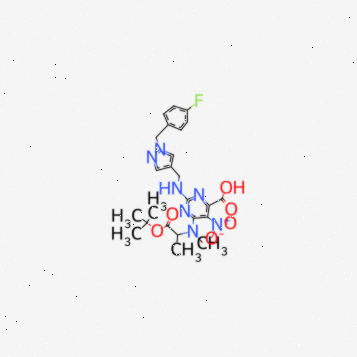 CC(C(=O)OC(C)(C)C)N(C)c1nc(NCc2cnn(Cc3ccc(F)cc3)c2)nc(C(=O)O)c1[N+](=O)[O-]